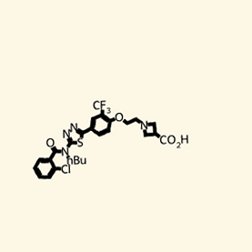 CCCCN(C(=O)c1ccccc1Cl)c1nnc(-c2ccc(OCCN3CC(C(=O)O)C3)c(C(F)(F)F)c2)s1